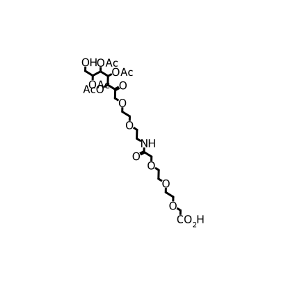 CC(=O)OC(CO)C(OC(C)=O)C(OC(C)=O)C(OC(C)=O)C(=O)COCCOCCNC(=O)COCCOCCOCC(=O)O